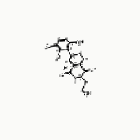 O=C1N[C@H](CCO)C(=O)N2CC[C@H](c3c(O)ccc(Cl)c3Cl)C[C@H]12